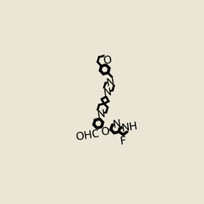 O=Cc1ccc(N2CCC3(CC2)CC(N2CCN(Cc4ccc5c(c4)OCCC5)CC2)C3)cc1Oc1cnc2[nH]cc(F)c2c1